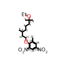 CCOC(C)(C)CCCC(C)CCOc1c(C)cc([N+](=O)[O-])cc1[N+](=O)[O-]